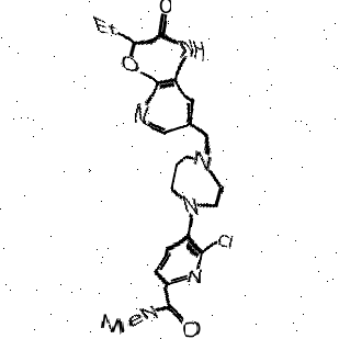 CCC1Oc2ncc(CN3CCN(c4ccc(C(=O)NC)nc4Cl)CC3)cc2NC1=O